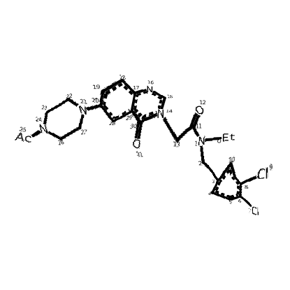 CCN(Cc1ccc(Cl)c(Cl)c1)C(=O)Cn1cnc2ccc(N3CCN(C(C)=O)CC3)cc2c1=O